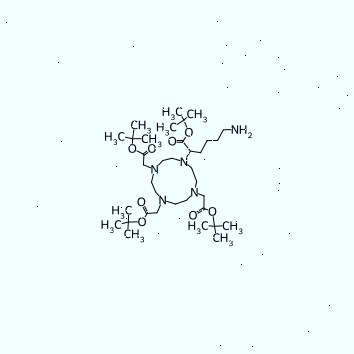 CC(C)(C)OC(=O)CN1CCN(CC(=O)OC(C)(C)C)CCN(C(CCCCN)C(=O)OC(C)(C)C)CCN(CC(=O)OC(C)(C)C)CC1